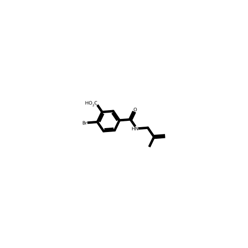 C=C(C)CNC(=O)c1ccc(Br)c(C(=O)O)c1